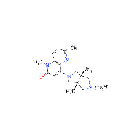 Cn1c(=O)cc(N2C[C@]3(C)CN(C(=O)O)C[C@]3(C)C2)c2nc(C#N)ccc21